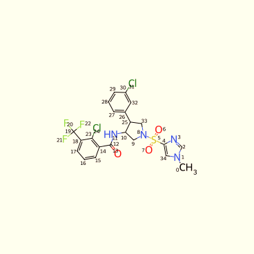 Cn1cnc(S(=O)(=O)N2CC(NC(=O)c3cccc(C(F)(F)F)c3Cl)C(c3cccc(Cl)c3)C2)c1